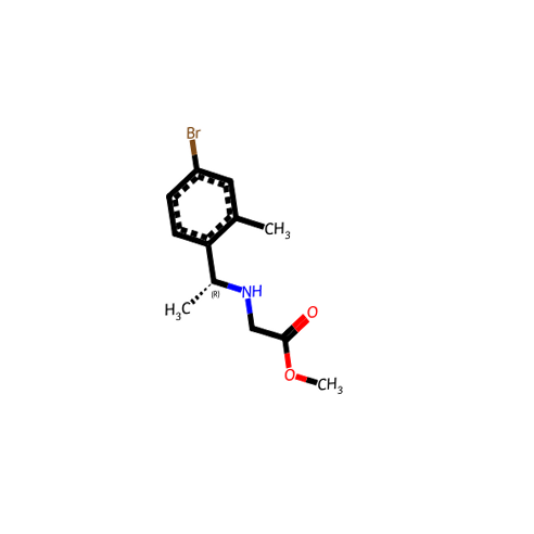 COC(=O)CN[C@H](C)c1ccc(Br)cc1C